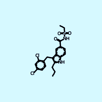 CCCc1[nH]c2ccc(C(=O)NS(=O)(=O)CC)cc2c1Cc1ccc(Cl)cc1Cl